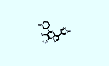 CN1CCC[C@@H](c2nc3c(-c4cnn(C)c4)cnn3c(N)c2Br)C1